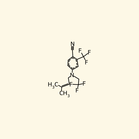 CC(C)=CCN(CC(F)(F)F)c1ccc(C#N)c(C(F)(F)F)c1